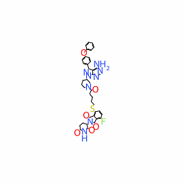 Nc1ncnc2c1c(-c1ccc(Oc3ccccc3)cc1)nn2[C@@H]1CCCN(C(=O)CCCCSc2ccc(F)c3c2C(=O)N(C2CCC(=O)NC2=O)C3=O)C1